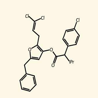 CC(C)C(C(=O)Oc1cc(Cc2ccccc2)oc1CC=C(Cl)Cl)c1ccc(Cl)cc1